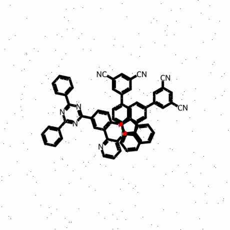 N#Cc1cc(C#N)cc(-c2ccc3c(c2)c2ccccc2n3-c2ccc(-c3nc(-c4ccccc4)nc(-c4ccccc4)n3)cc2-c2ncccc2-n2c3ccccc3c3cc(-c4cc(C#N)cc(C#N)c4)ccc32)c1